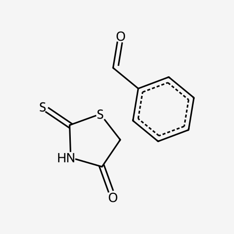 O=C1CSC(=S)N1.O=Cc1ccccc1